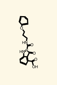 O=C(O)c1cccc2[nH]n(C(=O)NCCCOc3ccccc3)c(=O)c12